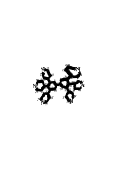 c1cc(-c2cc(-c3cc(-c4ccncc4)c(-c4ccncc4)c(-c4ccncc4)c3)cc(-c3ccncc3)c2-c2ccncc2)ccn1